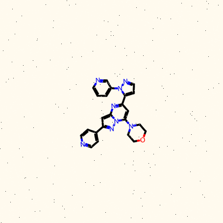 c1cncc(-n2nccc2-c2cc(N3CCOCC3)n3nc(-c4ccncc4)cc3n2)c1